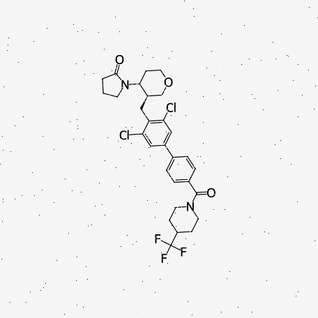 O=C(c1ccc(-c2cc(Cl)c(C[C@@H]3COCCC3N3CCCC3=O)c(Cl)c2)cc1)N1CCC(C(F)(F)F)CC1